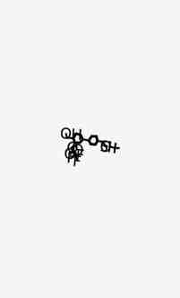 CC(C)(C)[Si](C)(C)OCc1ccc(-c2ccc(CO)c(OS(=O)(=O)C(F)(F)F)c2)cc1